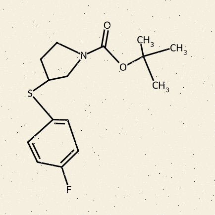 CC(C)(C)OC(=O)N1CCC(Sc2ccc(F)cc2)C1